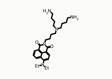 CCN(CC)c1ccc2c3c(cccc13)C(=O)N(CCCCN(CCCCN)CCCCN)C2=O